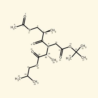 CC(=O)SC[C@@H](C)C(=O)N(CC(=O)OC(C)(C)C)[C@H](C)C(=O)OCC(C)C